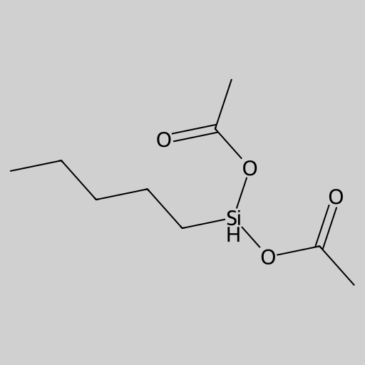 CCCCC[SiH](OC(C)=O)OC(C)=O